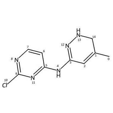 CC1=CC(Nc2ccnc(Cl)n2)=NNC1